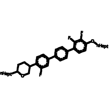 CCCCCCCOc1ccc(-c2ccc(-c3ccc(C4CCC(CCCCCCC)OC4)c(F)c3)cc2)c(F)c1F